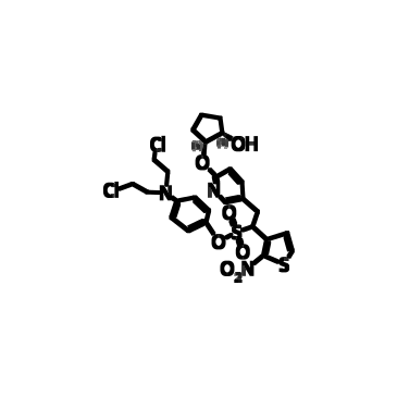 O=[N+]([O-])c1sccc1C(Cc1ccc(O[C@H]2CCC[C@H]2O)nc1)S(=O)(=O)Oc1ccc(N(CCCl)CCCl)cc1